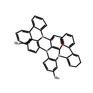 CC(C)(C)c1ccc2c(c1)N(C1=CCCC=C1c1ccccc1)c1cccc3c1B2c1ccc(C(C)(C)C)cc1N3c1ccccc1-c1ccccc1